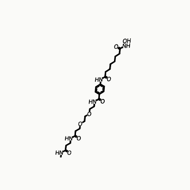 CNC(=O)CCNC(=O)CCOCCOCCNC(=O)c1ccc(NC(=O)CCCCCCC(=O)NO)cc1